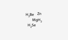 [BeH2].[MgH2].[SeH2].[Zn]